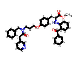 COC(=O)[C@H](Cc1ccc(OCCCN(Cc2ccccc2)C(=O)Cc2cccnc2)cc1)Nc1ccccc1C(=O)c1ccccc1